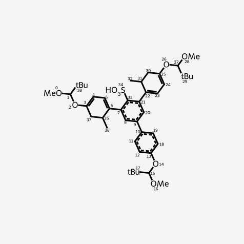 COC(OC1=CC=C(c2cc(-c3ccc(OC(OC)C(C)(C)C)cc3)cc(C3=CC=C(OC(OC)C(C)(C)C)CC3C)c2S(=O)(=O)O)C(C)C1)C(C)(C)C